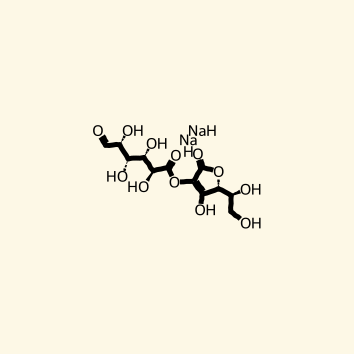 O=C[C@H](O)[C@@H](O)[C@H](O)[C@H](O)C(=O)OC1=C(O)[C@@H]([C@@H](O)CO)OC1=O.[NaH].[NaH]